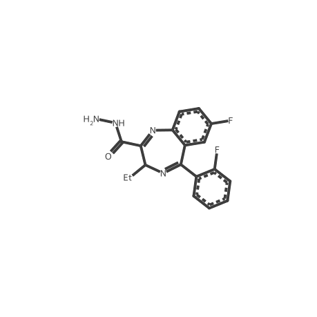 CCC1N=C(c2ccccc2F)c2cc(F)ccc2N=C1C(=O)NN